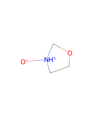 [O-][NH+]1CCOC1